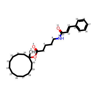 CC1(OC(=O)CCCCNC(=O)/C=C/c2ccccc2)CCCCCCCCCCC1